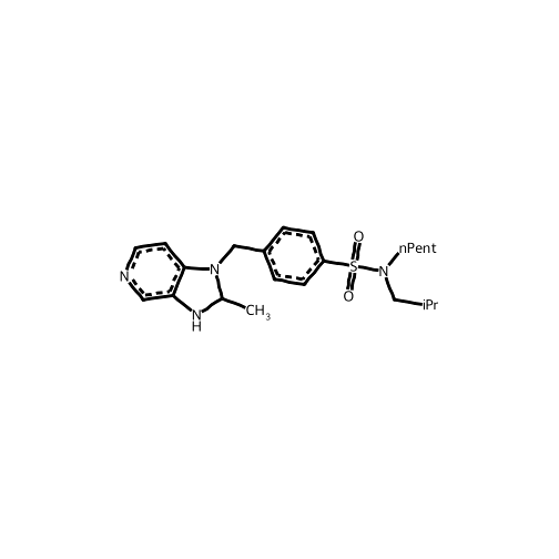 CCCCCN(CC(C)C)S(=O)(=O)c1ccc(CN2c3ccncc3NC2C)cc1